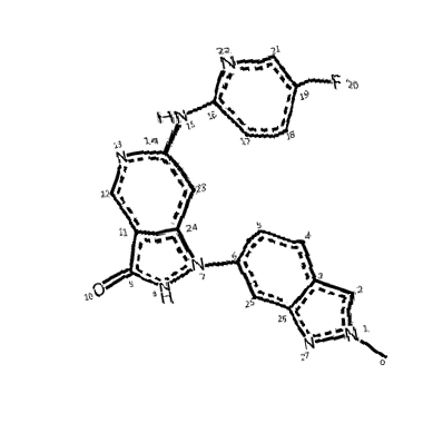 Cn1cc2ccc(-n3[nH]c(=O)c4cnc(Nc5ccc(F)cn5)cc43)cc2n1